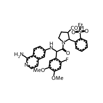 CCS(=O)(=O)c1ccccc1C1C(C(=O)O)CCN1C(=O)C(Nc1ccc2c(N)nccc2c1)c1cc(OC)c(OC)cc1F